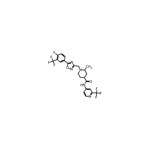 CC1CC(C(=O)Nc2ccnc(C(F)(F)F)c2)CCN1Cc1noc(-c2ccc(F)c(C(F)(F)F)c2)n1